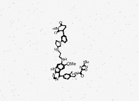 COc1cc2c(cc1NCCNC1CCN(c3cccc(C4CCC(=O)NC4=O)c3)C1)[nH]c1ncnc(-c3ccc([C@@H](C)NC(=O)c4nc(C(C)(C)C)no4)c(C)c3)c12